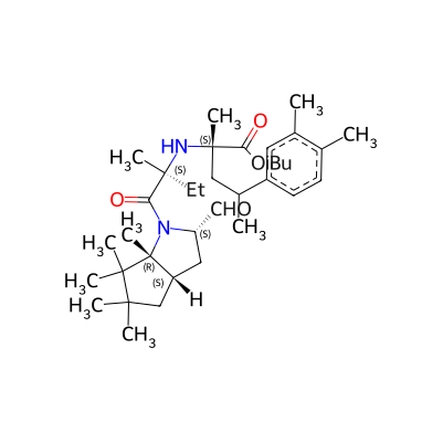 CC[C@](C)(N[C@@](C)(CC(C)c1ccc(C)c(C)c1)C(=O)OCC(C)C)C(=O)N1[C@H](C=O)C[C@@H]2CC(C)(C)C(C)(C)[C@@]21C